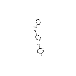 O=C(Nc1ccc(-c2nnc(-c3ccccc3)o2)cc1)c1ccc(Cl)cn1